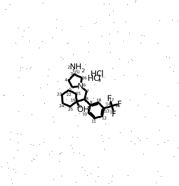 Cl.Cl.N[C@H]1CCN(CC(c2cccc(C(F)(F)F)c2)C2(O)CCCCC2)C1